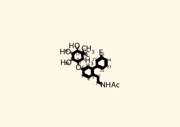 CC(=O)NCCc1ccc(O[C@@H]2CC(C)(C)[C@H](O)[C@@H](O)[C@H]2O)cc1-c1cccc(F)c1